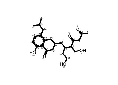 CC(=O)CC(=O)C(CO)C(CCO)CC1CC(=O)c2c(O)ccc(CC(C)C)c2C1